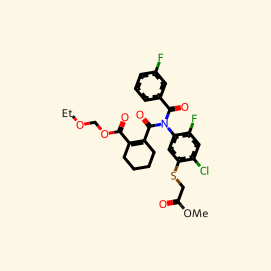 CCOCOC(=O)C1=C(C(=O)N(C(=O)c2cccc(F)c2)c2cc(SCC(=O)OC)c(Cl)cc2F)CCCC1